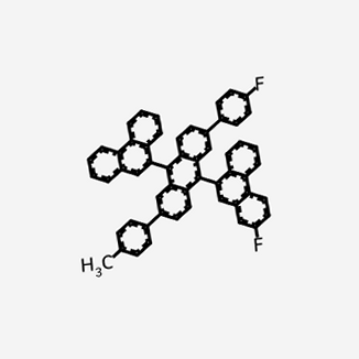 Cc1ccc(-c2ccc3c(-c4cc5cc(F)ccc5c5ccccc45)c4cc(-c5ccc(F)cc5)ccc4c(-c4cc5ccccc5c5ccccc45)c3c2)cc1